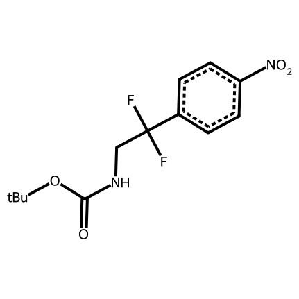 CC(C)(C)OC(=O)NCC(F)(F)c1ccc([N+](=O)[O-])cc1